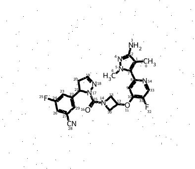 Cc1c(N)nn(C)c1-c1cc(OC2CN(C(=O)N3N=CCC3c3cc(F)cc(C#N)c3)C2)c(F)cn1